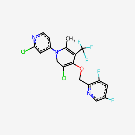 CC1=C(C(F)(F)F)C(OCc2ncc(F)cc2F)=C(Cl)CN1c1ccnc(Cl)c1